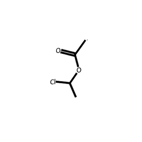 [CH2]C(=O)OC(C)Cl